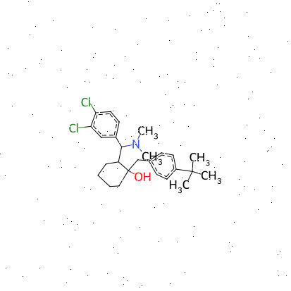 CN(C)C(c1ccc(Cl)c(Cl)c1)C1CCCCC1(O)Cc1ccc(C(C)(C)C)cc1